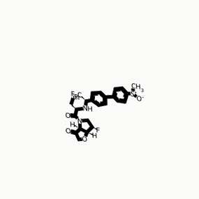 CC(C)C[C@H](N[C@@H](c1ccc(-c2ccc([S+](C)[O-])cc2)cc1)C(F)(F)F)C(=O)N1C[C@H](F)[C@H]2OCC(=O)[C@H]21